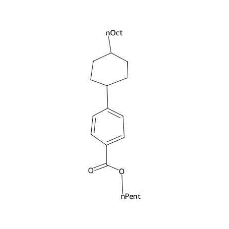 CCCCCCCCC1CCC(c2ccc(C(=O)OCCCCC)cc2)CC1